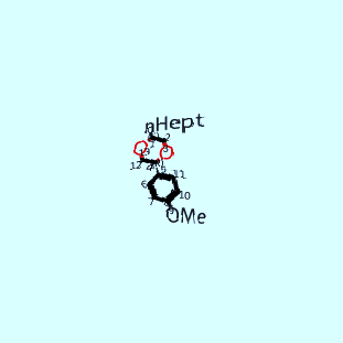 CCCCCCC[C@H]1CO[C@H](c2ccc(OC)cc2)CO1